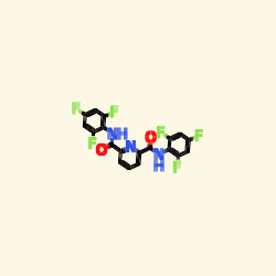 O=C(Nc1c(F)cc(F)cc1F)c1cccc(C(=O)Nc2c(F)cc(F)cc2F)n1